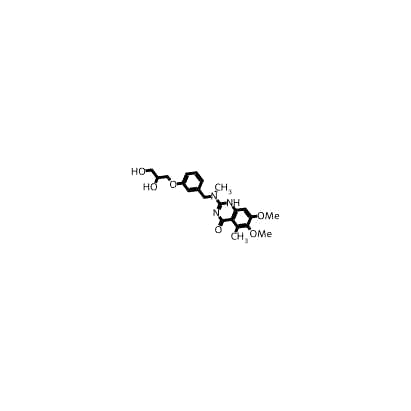 COc1cc2[nH]c(N(C)Cc3cccc(OCC(O)CO)c3)nc(=O)c2c(C)c1OC